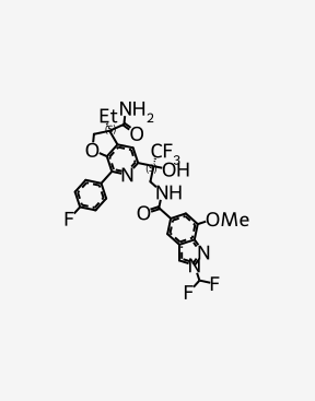 CC[C@@]1(C(N)=O)COc2c1cc([C@@](O)(CNC(=O)c1cc(OC)c3nn(C(F)F)cc3c1)C(F)(F)F)nc2-c1ccc(F)cc1